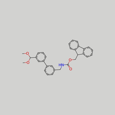 COC(OC)c1cccc(-c2cccc(CNC(=O)OCC3c4ccccc4-c4ccccc43)c2)c1